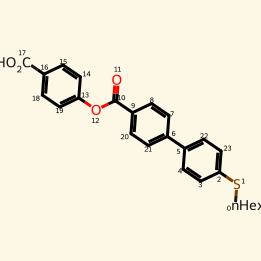 CCCCCCSc1ccc(-c2ccc(C(=O)Oc3ccc(C(=O)O)cc3)cc2)cc1